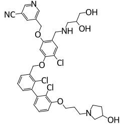 N#Cc1cncc(COc2cc(OCc3cccc(-c4cccc(OCCCN5CCC(O)C5)c4Cl)c3Cl)c(Cl)cc2CNCC(O)CO)c1